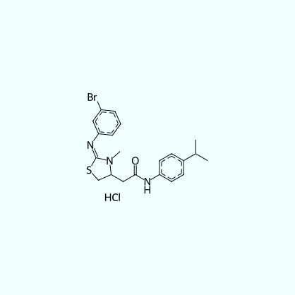 CC(C)c1ccc(NC(=O)CC2CSC(=Nc3cccc(Br)c3)N2C)cc1.Cl